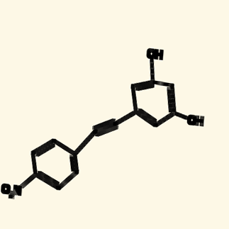 O=[N+]([O-])c1ccc(C#Cc2cc(O)cc(O)c2)cc1